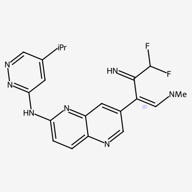 CN/C=C(\C(=N)C(F)F)c1cnc2ccc(Nc3cc(C(C)C)cnn3)nc2c1